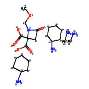 COCN1C(=O)CC1(C(=O)[O-])C(=O)[O-].NC1CCCCC1.NC1CCCCC1.[NH2][Pt+].[NH2][Pt+]